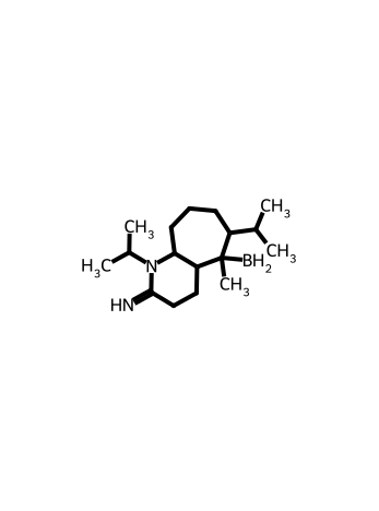 BC1(C)C(C(C)C)CCCC2C1CCC(=N)N2C(C)C